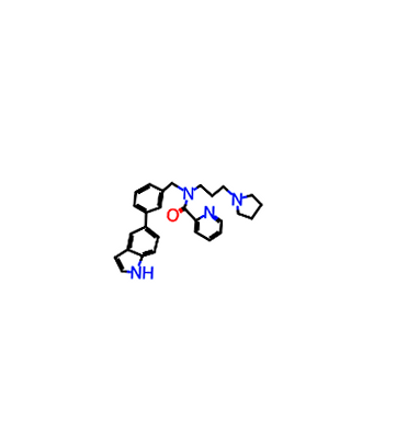 O=C(c1ccccn1)N(CCCN1CCCC1)Cc1cccc(-c2ccc3[nH]ccc3c2)c1